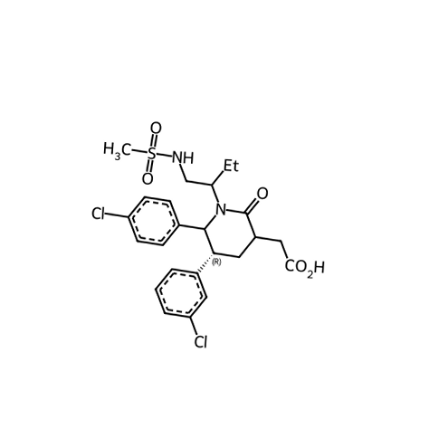 CCC(CNS(C)(=O)=O)N1C(=O)C(CC(=O)O)C[C@H](c2cccc(Cl)c2)C1c1ccc(Cl)cc1